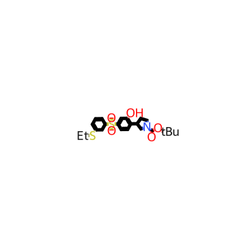 CCSC1=CC=CC(S(=O)(=O)c2ccc(C3CCN(C(=O)OC(C)(C)C)C3)c(O)c2)C1